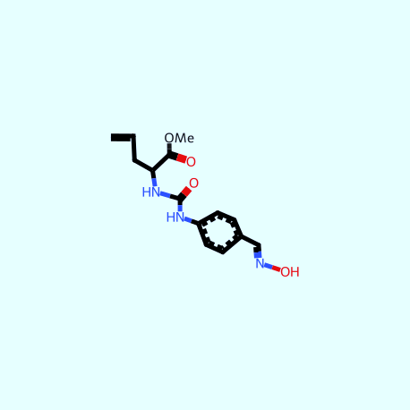 C=CCC(NC(=O)Nc1ccc(C=NO)cc1)C(=O)OC